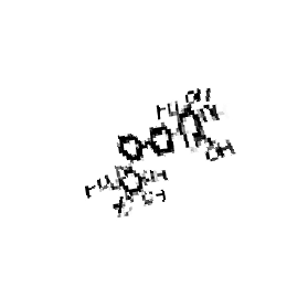 OC[C@H]1O[C@H](c2ccc(-c3cccc([C@H]4O[C@H](CO)[C@@H](O)[C@H](O)[C@@H]4O)c3)cc2)[C@@H](O)[C@@H](O)[C@@H]1O